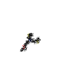 c1ccc(-c2cccc3c2oc2ccc(-c4ccc(N(c5ccc(-c6ccc7sc8ccccc8c7c6)cc5)c5ccc6sc7ccccc7c6c5)cc4)cc23)cc1